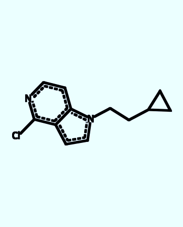 Clc1nccc2c1ccn2CCC1CC1